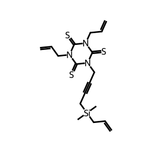 C=CCn1c(=S)n(CC#CC[Si](C)(C)CC=C)c(=S)n(CC=C)c1=S